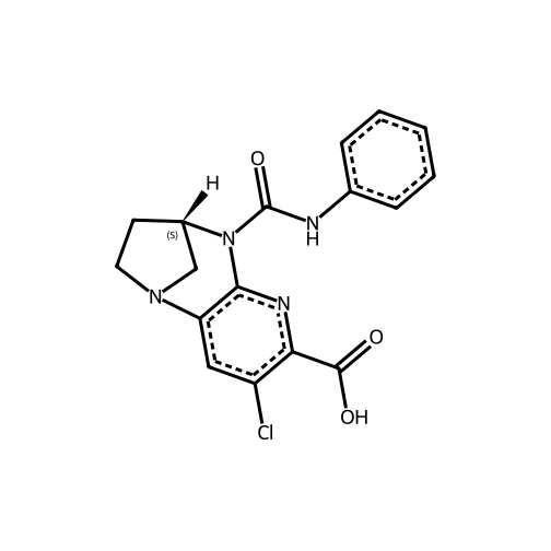 O=C(O)c1nc2c(cc1Cl)N1CC[C@@H](C1)N2C(=O)Nc1ccccc1